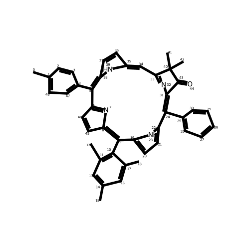 Cc1ccc(-c2c3nc(c(-c4c(C)cc(C)cc4C)c4ccc([nH]4)c(-c4ccccc4)c4nc(cc5ccc2[nH]5)C(C)(C)C4=O)C=C3)cc1